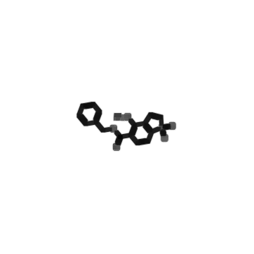 COc1c(C(=O)OCc2ccccc2)ccc2c1C=CS2(=O)=O